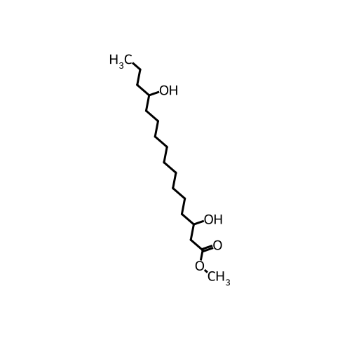 CCCC(O)CCCCCCCCCC(O)CC(=O)OC